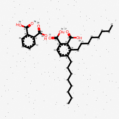 CCCCCCCCc1ccc(C(=O)O)c(C(=O)O)c1CCCCCCCC.O=C(O)c1ccccc1C(=O)O